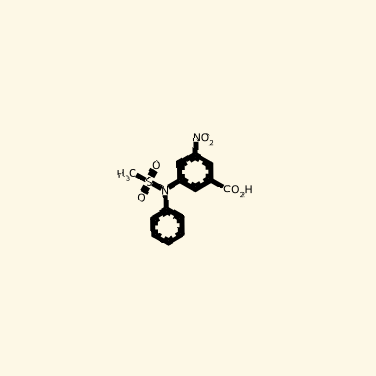 CS(=O)(=O)N(c1ccccc1)c1cc(C(=O)O)cc([N+](=O)[O-])c1